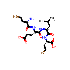 CC(C)C[C@H](NC(=O)[C@H](CCC(=O)O)NC(=O)[C@@H](N)CCS)C(=O)N[C@@H](CCS)C(=O)O